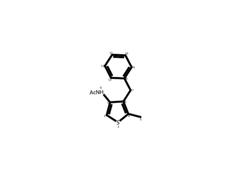 CC(=O)Nc1csc(C)c1Cc1ccccc1